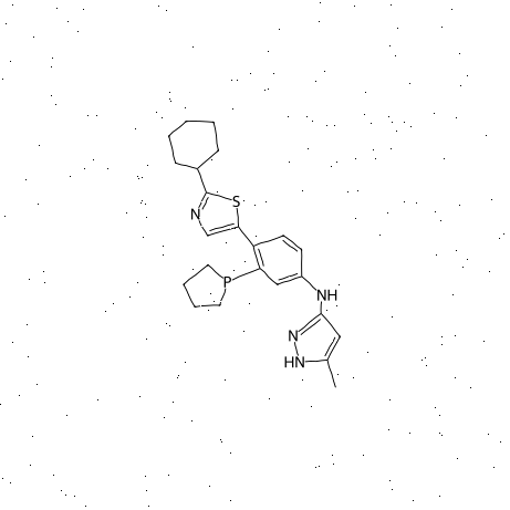 Cc1cc(Nc2ccc(-c3cnc(C4CCCCC4)s3)c(P3CCCC3)c2)n[nH]1